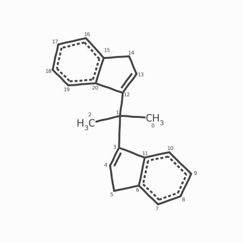 CC(C)(C1=CCc2ccccc21)C1=CCc2ccccc21